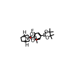 CC(C)(C)OC(=O)N1[C@@H]2CC[C@H]1CN(c1ccc(B3OC(C)(C)C(C)(C)O3)cc1F)C2